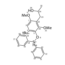 COc1cc(C(C)(C)C)c(O[SiH](c2ccccc2)c2ccccc2)c(OC)c1CC(C)O